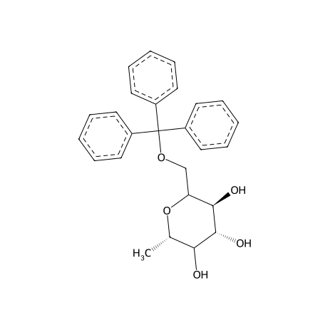 C[C@@H]1OC(COC(c2ccccc2)(c2ccccc2)c2ccccc2)[C@@H](O)[C@H](O)C1O